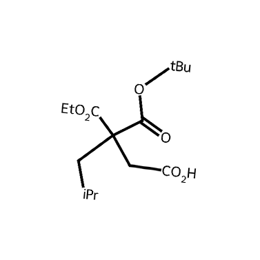 CCOC(=O)C(CC(=O)O)(CC(C)C)C(=O)OC(C)(C)C